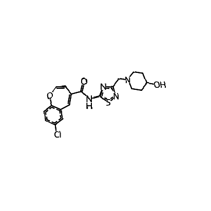 O=C(Nc1nc(CN2CCC(O)CC2)ns1)C1=Cc2cc(Cl)ccc2OC=C1